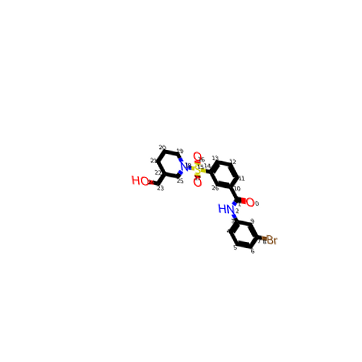 O=C(Nc1cccc(Br)c1)c1cccc(S(=O)(=O)N2CCCC(CO)C2)c1